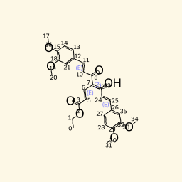 CCOC(=O)/C=C/C(C(=O)/C=C/c1ccc(OC)c(OC)c1)=C(O)\C=C\c1ccc(OC)c(OC)c1